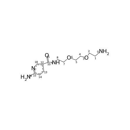 NCCOCCOCCNC(=O)c1ccc(N)nc1